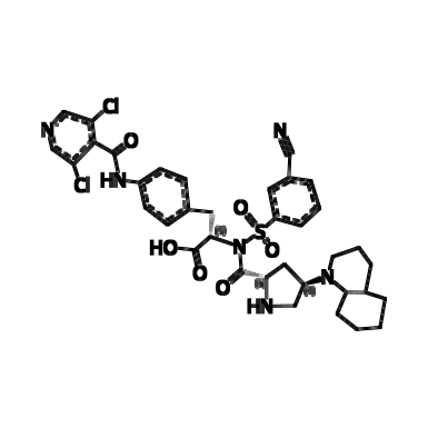 N#Cc1cccc(S(=O)(=O)N(C(=O)[C@@H]2C[C@@H](N3CCCC4CCCCC43)CN2)[C@@H](Cc2ccc(NC(=O)c3c(Cl)cncc3Cl)cc2)C(=O)O)c1